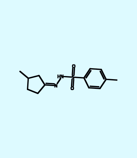 Cc1ccc(S(=O)(=O)N/N=C2/CCC(C)C2)cc1